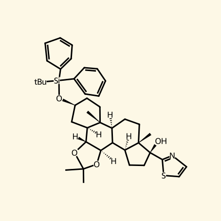 CC1(C)O[C@H]2[C@H](O1)C1[C@H](CC[C@@]3(C)[C@H]1CC[C@@]3(O)c1nccs1)[C@@]1(C)CC[C@H](O[Si](c3ccccc3)(c3ccccc3)C(C)(C)C)C[C@H]21